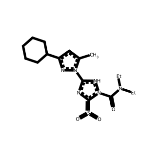 CCN(CC)C(=O)n1[nH]c(-n2nc(C3CCCCC3)cc2C)nc1=S(=O)=O